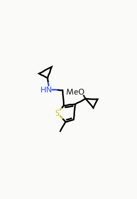 COC1(c2cc(C)sc2CNC2CC2)CC1